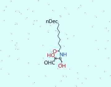 CCCCCCCCCCCCCCCCCC(=O)N[C@@H](CO)[C@H](O)C=O